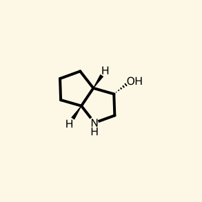 O[C@@H]1CN[C@@H]2CCC[C@H]12